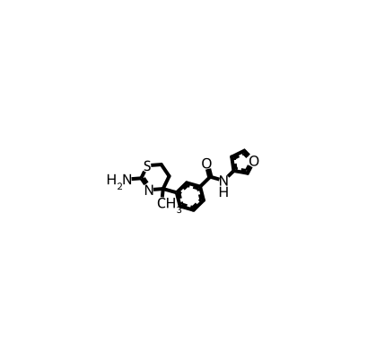 CC1(c2cccc(C(=O)Nc3ccoc3)c2)CCSC(N)=N1